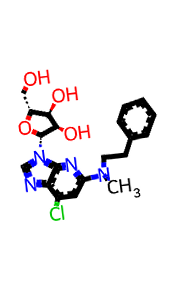 CN(CCc1ccccc1)c1cc(Cl)c2ncn([C@@H]3O[C@H](CO)[C@@H](O)[C@H]3O)c2n1